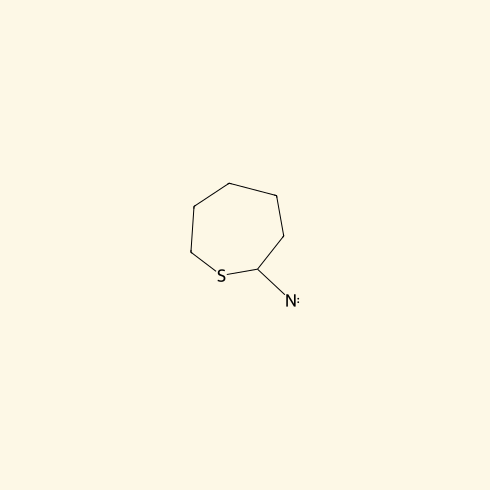 [N]C1CCCCCS1